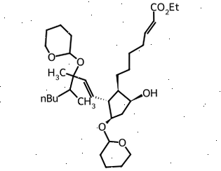 CCCCC(C)C(C)(/C=C/[C@@H]1[C@@H](CCCC/C=C/C(=O)OCC)[C@@H](O)C[C@H]1OC1CCCCO1)OC1CCCCO1